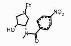 CCN1C[C@H](O)[C@@H](N(C)C(=O)c2ccc([N+](=O)[O-])cc2)C1